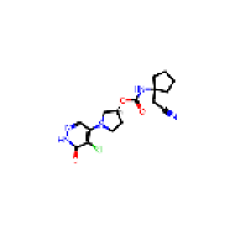 N#CCC1(NC(=O)O[C@@H]2CCN(c3cn[nH]c(=O)c3Cl)C2)CCCC1